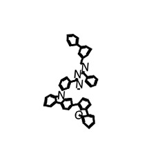 C=N/C(=N\C(=N/Cc1cccc(-c2ccccc2)c1)c1ccccc1)c1cccc(-n2c3ccccc3c3ccc(-c4cccc5c4oc4ccccc45)cc32)c1